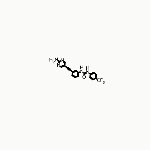 Nc1ncc(C#Cc2cccc(NC(=O)Nc3ccc(C(F)(F)F)cc3)c2)cn1